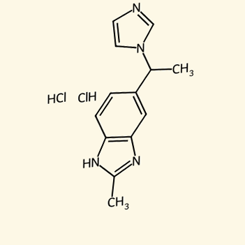 Cc1nc2cc(C(C)n3ccnc3)ccc2[nH]1.Cl.Cl